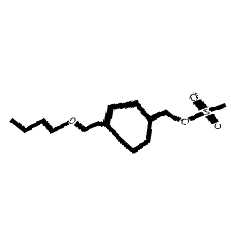 CCCCOCC1CCC(COS(C)(=O)=O)CC1